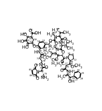 CC[C@H](C)[C@@H]([C@@H](CC(=O)N1CCC[C@H]1[C@H](OC)[C@@H](C)C(=O)N[C@H](C)[C@@H](O)c1ccccc1)OC)N(C)C(=O)C(NC(=O)[C@H](C(C)C)N(C)C(=O)OCc1ccc(O[C@@H]2C[C@H](C(=O)O)[C@@H](O)[C@H](O)[C@H]2O)c(NC(=O)CCNC(=O)[C@H](CN)N2C(=O)C=CC2=O)c1)C(C)C